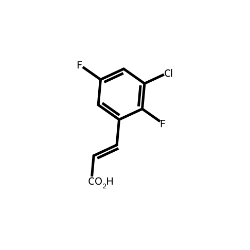 O=C(O)C=Cc1cc(F)cc(Cl)c1F